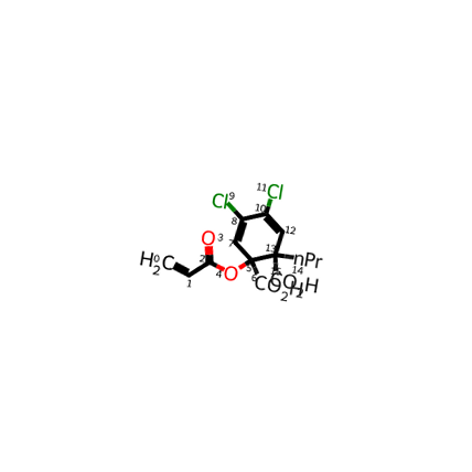 C=CC(=O)OC1(C(=O)O)C=C(Cl)C(Cl)=CC1(CCC)C(=O)O